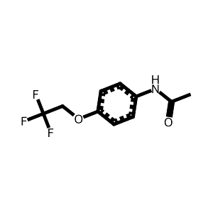 CC(=O)Nc1ccc(OCC(F)(F)F)cc1